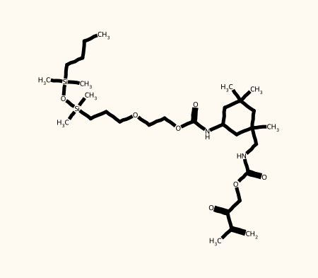 C=C(C)C(=O)COC(=O)NCC1(C)CC(NC(=O)OCCOCCC[Si](C)(C)O[Si](C)(C)CCCC)CC(C)(C)C1